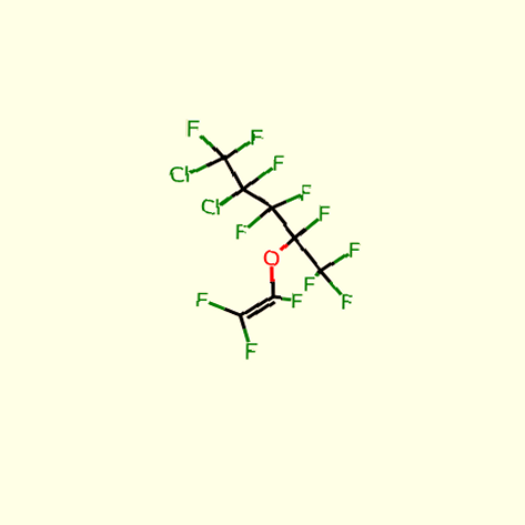 FC(F)=C(F)OC(F)(C(F)(F)F)C(F)(F)C(F)(Cl)C(F)(F)Cl